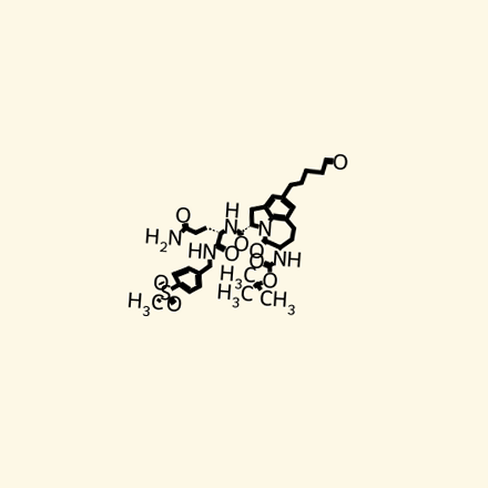 CC(C)(C)OC(=O)N[C@H]1CCc2cc(CCCCC=O)cc3c2N(C1=O)[C@H](C(=O)N[C@@H](CCC(N)=O)C(=O)NCc1ccc(S(C)(=O)=O)cc1)C3